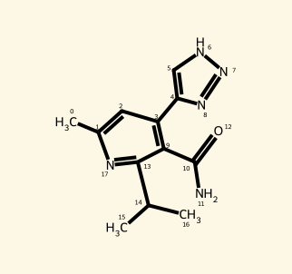 Cc1cc(-c2c[nH]nn2)c(C(N)=O)c(C(C)C)n1